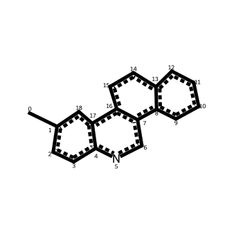 Cc1ccc2ncc3c4ccccc4ccc3c2c1